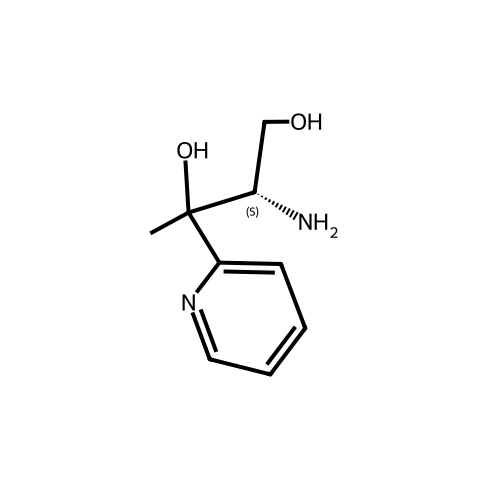 CC(O)(c1ccccn1)[C@@H](N)CO